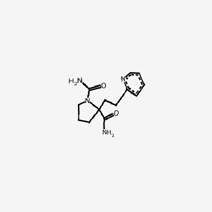 NC(=O)N1CCCC1(CCc1ccccn1)C(N)=O